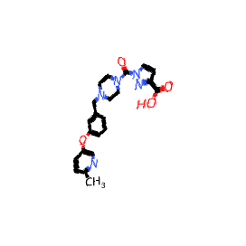 Cc1ccc(Oc2cccc(CN3CCN(C(=O)n4ccc(C(=O)O)n4)CC3)c2)cn1